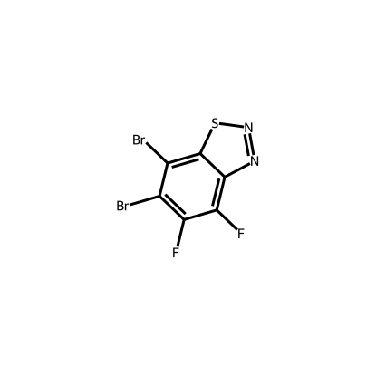 Fc1c(Br)c(Br)c2snnc2c1F